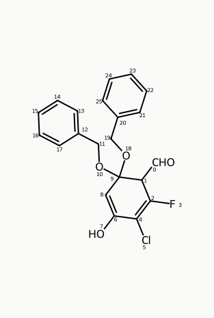 O=CC1C(F)=C(Cl)C(O)=CC1(OCc1ccccc1)OCc1ccccc1